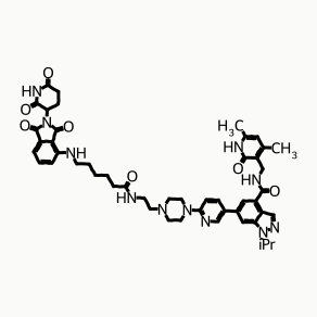 Cc1cc(C)c(CNC(=O)c2cc(-c3ccc(N4CCN(CCNC(=O)CCCCCNc5cccc6c5C(=O)N(C5CCC(=O)NC5=O)C6=O)CC4)nc3)cc3c2cnn3C(C)C)c(=O)[nH]1